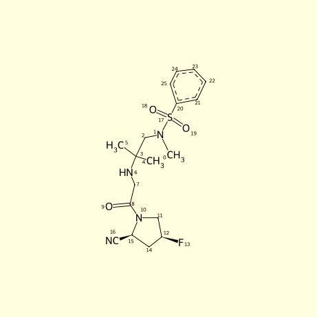 CN(CC(C)(C)NCC(=O)N1C[C@@H](F)C[C@H]1C#N)S(=O)(=O)c1ccccc1